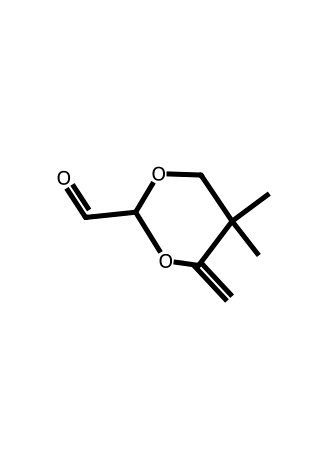 C=C1OC(C=O)OCC1(C)C